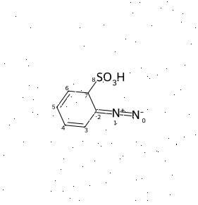 [N-]=[N+]=C1C=CC=CC1S(=O)(=O)O